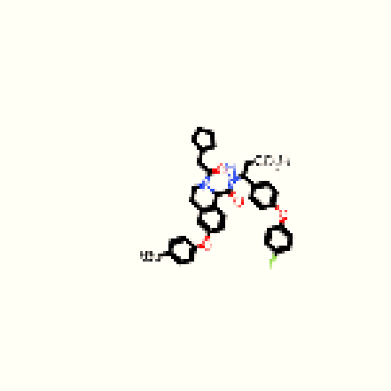 CC(C)(C)c1ccc(Oc2ccc3c(c2)CCN(C(=O)CC2CCCC2)C3C(=O)NC(CC(=O)O)c2ccc(Oc3ccc(F)cc3)cc2)cc1